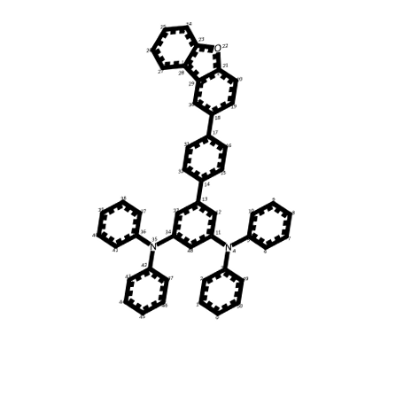 c1ccc(N(c2ccccc2)c2cc(-c3ccc(-c4ccc5oc6ccccc6c5c4)cc3)cc(N(c3ccccc3)c3ccccc3)c2)cc1